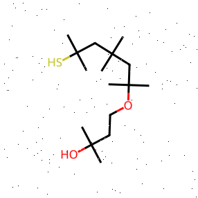 CC(C)(O)CCOC(C)(C)CC(C)(C)CC(C)(C)S